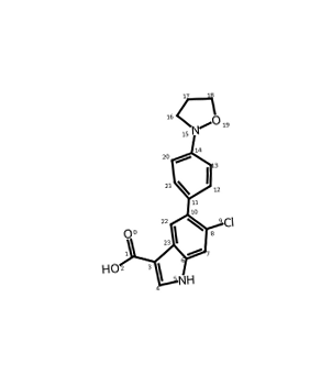 O=C(O)c1c[nH]c2cc(Cl)c(-c3ccc(N4CCCO4)cc3)cc12